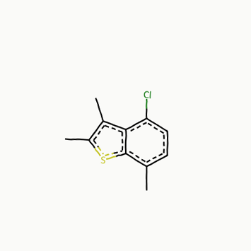 Cc1sc2c(C)ccc(Cl)c2c1C